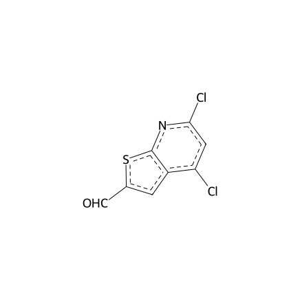 O=Cc1cc2c(Cl)cc(Cl)nc2s1